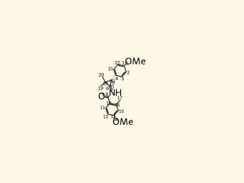 COc1ccc([C@@H]2[C@@H](NC(=O)c3ccc(OC)cc3C)C2(C)C)cc1